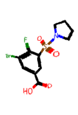 O=C(O)c1cc(Br)c(F)c(S(=O)(=O)N2CCCC2)c1